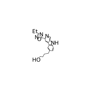 CCc1noc(-c2cc3c(cn2)[nH]c2ccc(CCCCO)cc23)n1